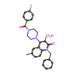 CCOC(=O)c1c(N2CCN(C(=O)c3ccc(F)cc3)CC2)c2cc(C)ccc2n(Cc2ccccc2)c1=O